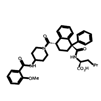 COc1ccccc1C(=O)NC1CCN(C(=O)[C@H]2CC[C@@](C(=O)N[C@@H](CC(C)C)C(=O)O)(c3ccccc3)c3ccccc32)CC1